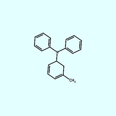 CC1=CC=CC(N(c2ccccc2)c2ccccc2)C1